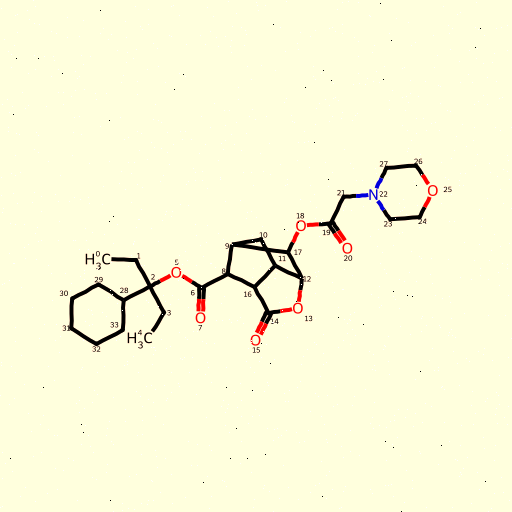 CCC(CC)(OC(=O)C1C2CC3C(OC(=O)C31)C2OC(=O)CN1CCOCC1)C1CCCCC1